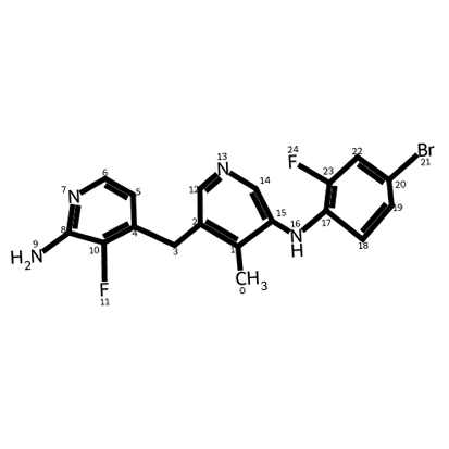 Cc1c(Cc2ccnc(N)c2F)cncc1Nc1ccc(Br)cc1F